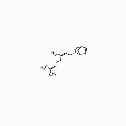 CC(C)=CCCC(C)=CCC1CC2C=CC1C2